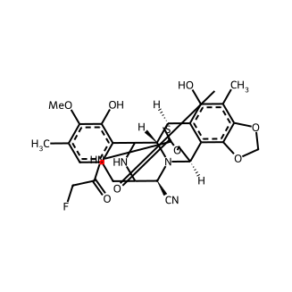 COc1c(C)cc2c(c1O)C1NC(C2)[C@H](C#N)N2[C@H]1[C@@H]1SCC(NC(=O)CF)C(=O)OC[C@H]2c2c3c(c(C)c(O)c21)OCO3